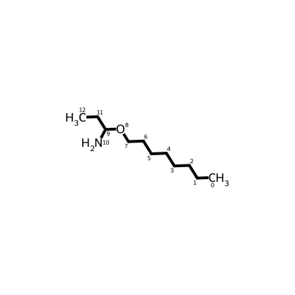 CCCCCCCCOC(N)CC